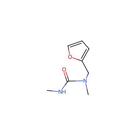 CNC(=O)N(C)Cc1ccco1